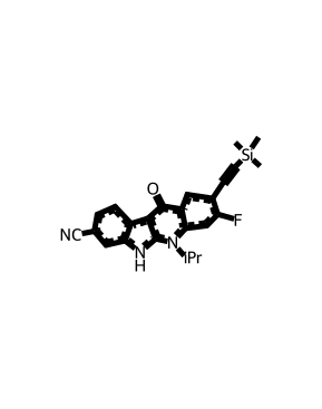 CC(C)n1c2cc(F)c(C#C[Si](C)(C)C)cc2c(=O)c2c3ccc(C#N)cc3[nH]c21